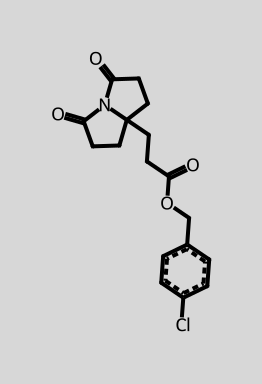 O=C(CCC12CCC(=O)N1C(=O)CC2)OCc1ccc(Cl)cc1